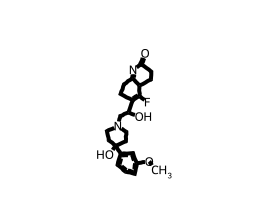 COc1cccc(C2(O)CCN(CC(O)C3=C(F)C4CCC(=O)N=C4CC3)CC2)c1